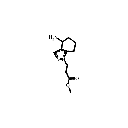 COC(=O)CCn1ncc2c1CCCC2N